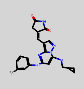 O=C1CC(=Cc2cnn3c(NCC4CC4)cc(Nc4cccc(C(F)(F)F)c4)nc23)C(=O)N1